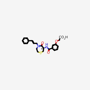 O=C(O)COc1cccc(C(=O)N[C@H]2CSCCN(CC=Cc3ccccc3)C2=O)c1